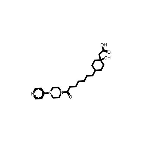 O=C(O)CC1(O)CCC(CCCCCCC(=O)N2CCN(c3ccncc3)CC2)CC1